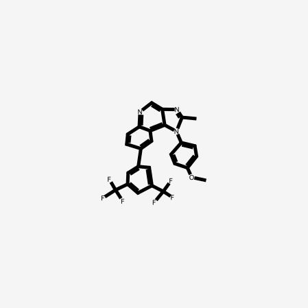 COc1ccc(-n2c(C)nc3cnc4ccc(-c5cc(C(F)(F)F)cc(C(F)(F)F)c5)cc4c32)cc1